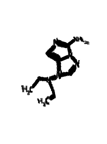 CCN(CC)n1cnn2c(N)ncc12